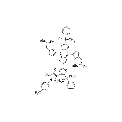 CCCCC(CC)Cc1ccc(-c2c3cc(C(C)(CC)c4ccccc4)sc3c(-c3ccc(CC(CC)CCCC)s3)c3cc(-c4sc(C(C)(CCCC)c5ccccc5)c5c6c(sc45)C(=O)N(c4ccc(C(F)(F)F)cc4)C6=O)sc23)s1